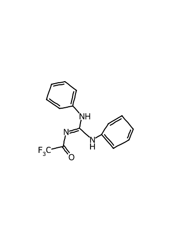 O=C(N=C(Nc1ccccc1)Nc1ccccc1)C(F)(F)F